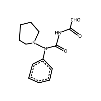 O=[C]C(=O)NC(=O)N(c1ccccc1)N1CCCCC1